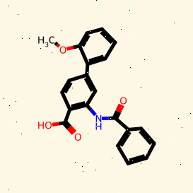 COc1ccccc1-c1ccc(C(=O)O)c(NC(=O)c2ccccc2)c1